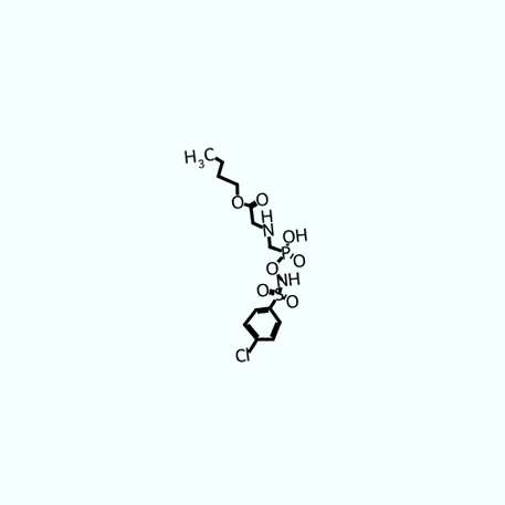 CCCCOC(=O)CNCP(=O)(O)ONS(=O)(=O)c1ccc(Cl)cc1